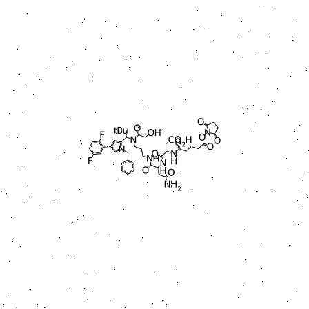 CC(C)(C)[C@H](c1cc(-c2cc(F)ccc2F)cn1Cc1ccccc1)N(CCCNC(=O)[C@H](CC(N)=O)NC(=O)[C@H](CC(=O)O)NC(=O)CCCC(=O)ON1C(=O)CCC1=O)C(=O)CO